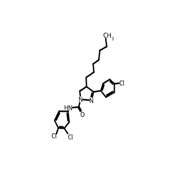 CCCCCCCC1CN(C(=O)Nc2ccc(Cl)c(Cl)c2)N=C1c1ccc(Cl)cc1